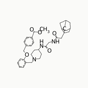 COC(=O)c1ccc(COc2ccccc2CN2CCC(NC(=O)CNC(=O)CC34CC5CC(CC3C5)C4)CC2)cc1